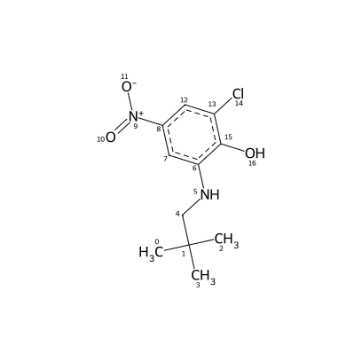 CC(C)(C)CNc1cc([N+](=O)[O-])cc(Cl)c1O